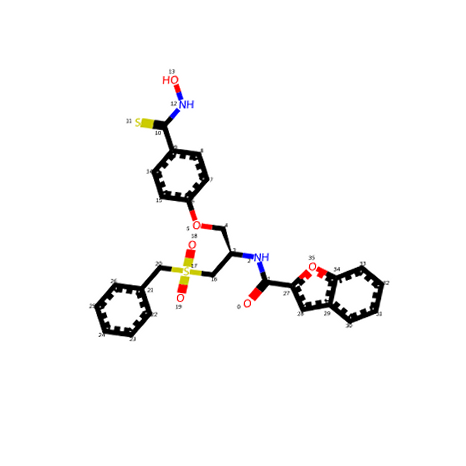 O=C(N[C@H](COc1ccc(C(=S)NO)cc1)CS(=O)(=O)Cc1ccccc1)c1cc2ccccc2o1